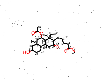 COC(=O)CC[C@@H](C)[C@H]1CC[C@H]2[C@@H]3[C@H](OC(C)=O)C[C@@H]4C[C@H](O)CC[C@]4(C)[C@H]3CC(=O)[C@]12C